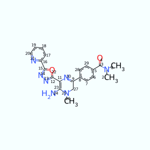 CN(C)C(=O)c1ccc(C2=NC(c3nnc(-c4ccccn4)o3)=C(N)N(C)C2)cc1